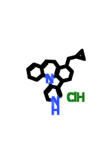 C1=CC2=CCC3=C4C(CCC3CC3CC3)C3=CNCC=C3N4C2CC1.Cl